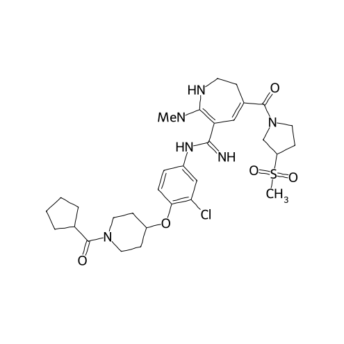 CNC1=C(C(=N)Nc2ccc(OC3CCN(C(=O)C4CCCC4)CC3)c(Cl)c2)C=C(C(=O)N2CCC(S(C)(=O)=O)C2)CCN1